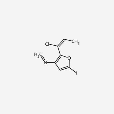 C=Nc1cc(I)oc1/C(Cl)=C\C